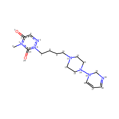 Cn1c(=O)cnn(CCCCN2CCN(N3C=CC=NC3)CC2)c1=O